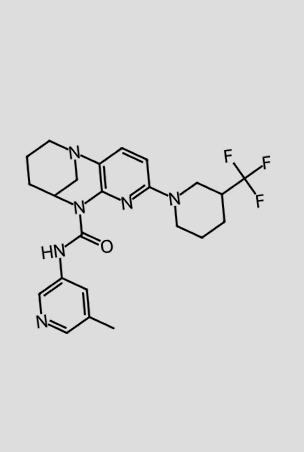 Cc1cncc(NC(=O)N2c3nc(N4CCCC(C(F)(F)F)C4)ccc3N3CCCC2C3)c1